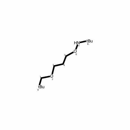 CC(C)(C)COCCCONC(C)(C)C